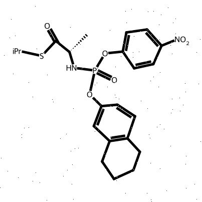 CC(C)SC(=O)[C@H](C)NP(=O)(Oc1ccc([N+](=O)[O-])cc1)Oc1ccc2c(c1)CCCC2